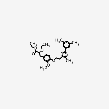 CCOC(=O)C(Cc1ccc(OCCc2nc(-c3cc(C)cc(C)c3)sc2C)c(OC)c1)OCC